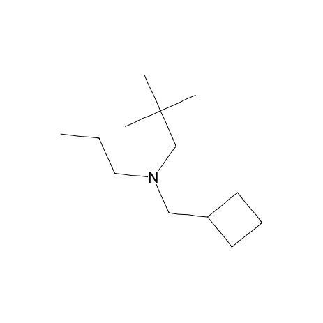 CCCN(CC1CCC1)CC(C)(C)C